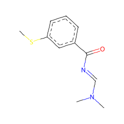 CSc1cccc(C(=O)N=CN(C)C)c1